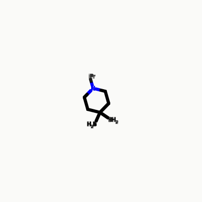 BC1(B)CCN(C(C)C)CC1